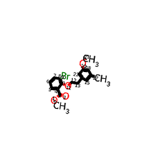 COC(=O)c1cccc(Br)c1OCCc1cc(C)cc(OC)c1